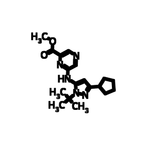 COC(=O)c1cncc(Nc2cc(C3CCCC3)nn2C(C)(C)C)n1